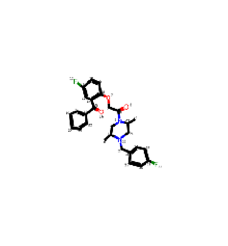 CC1CN(C(=O)COc2ccc(F)cc2C(=O)c2ccccc2)C(C)CN1Cc1ccc(F)cc1